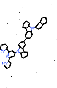 C1=CNC(c2cc(-n3c4ccccc4c4cc(-c5ccc6c(c5)c5ccccc5n6-c5ccc6ccccc6c5)ccc43)cc(-c3ccccn3)n2)C=C1